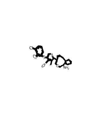 CC1C(=O)C(Sc2cccc(Cl)c2Cl)=CN=C1/C1=C/CC[C@H](N)c2ccccc2CCC1